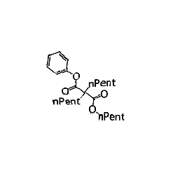 CCCCCOC(=O)C(CCCCC)(CCCCC)C(=O)Oc1ccccc1